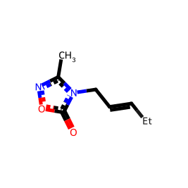 [CH2]C/C=C/Cn1c(C)noc1=O